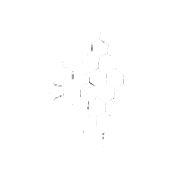 C=C[C@@H](C[C@H](O)[C@H](CC1CCCCC1)NC(=O)[C@H](Cc1c[nH]cn1)NC(=O)[C@H](Cc1ccc(Cl)cc1)OC(N)=O)C(C)C